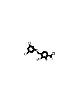 CCCc1c(COc2cc(Cl)cc(Cl)c2)ccc(C(=O)Cl)c1F